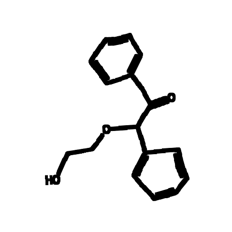 O=C(c1ccccc1)C(OCCO)c1ccccc1